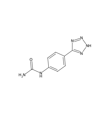 NC(=O)Nc1ccc(-c2nn[nH]n2)cc1